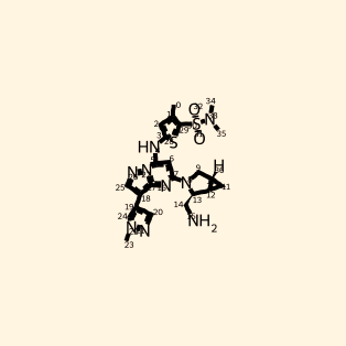 Cc1cc(Nc2cc(N3C[C@@H]4CC4[C@H]3CN)nc3c(-c4cnn(C)c4)cnn23)sc1S(=O)(=O)N(C)C